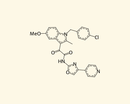 COc1ccc2c(c1)c(C(=O)C(=O)Nc1nc(-c3ccncc3)co1)c(C)n2Cc1ccc(Cl)cc1